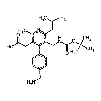 Cc1nc(CC(C)C)c(CNC(=O)OC(C)(C)C)c(-c2ccc(CN)cc2)c1CC(=O)O